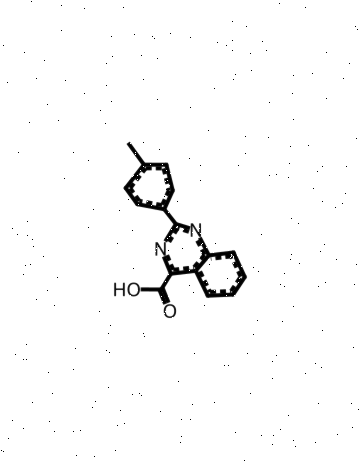 Cc1ccc(-c2nc(C(=O)O)c3ccccc3n2)cc1